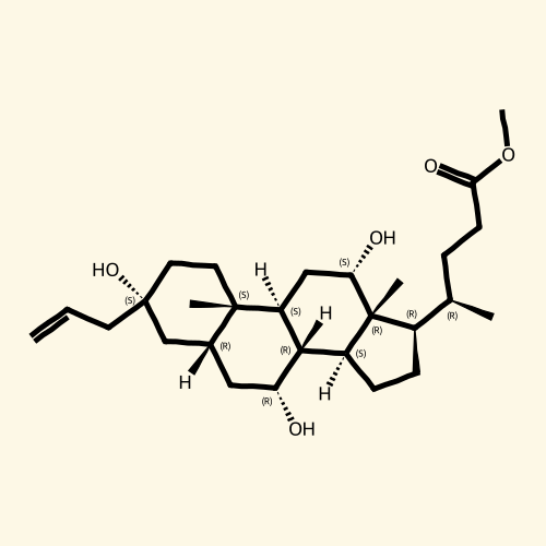 C=CC[C@@]1(O)CC[C@@]2(C)[C@H](C[C@@H](O)[C@@H]3[C@@H]2C[C@H](O)[C@]2(C)[C@@H]([C@H](C)CCC(=O)OC)CC[C@@H]32)C1